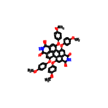 COc1ccc(Oc2cc3c4c(cc(Oc5ccc(OC)cc5)c5c6c(Oc7ccc(OC)cc7)cc7c8c(cc(Oc9ccc(OC)cc9)c(c2c45)c86)C(=O)NC7=O)C(=O)NC3=O)cc1